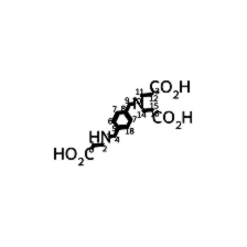 O=C(O)CCNCc1ccc(CN(CCC(=O)O)CCC(=O)O)cc1